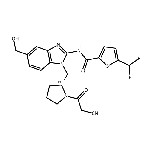 N#CCC(=O)N1CCC[C@@H]1Cn1c(NC(=O)c2ccc(C(F)F)s2)nc2cc(CO)ccc21